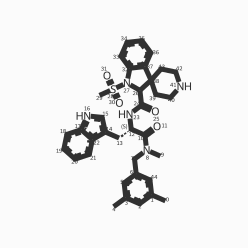 Cc1cc(C)cc(CN(C)C(=O)[C@H](Cc2c[nH]c3ccccc23)NC(=O)C2N(S(C)(=O)=O)c3ccccc3C23CCNCC3)c1